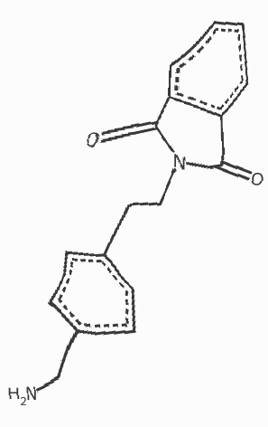 NCc1ccc(CCN2C(=O)c3ccccc3C2=O)cc1